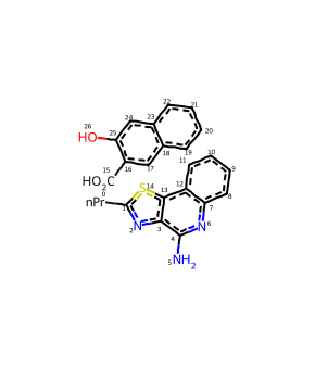 CCCc1nc2c(N)nc3ccccc3c2s1.O=C(O)c1cc2ccccc2cc1O